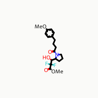 COC(=O)C(F)(F)C(O)C1CCCN1C(=O)CCCc1ccc(OC)cc1